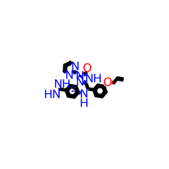 C=CCOc1cccc(C(Nc2ccc(C(=N)N)cc2)c2nn(-c3ncccn3)c(=O)[nH]2)c1